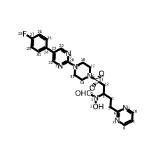 O=CN(O)C(CCc1ncccn1)CS(=O)(=O)N1CCN(c2ncc(-c3ccc(F)cc3)cn2)CC1